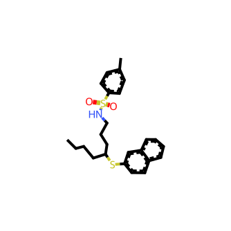 CCCCC(CCCNS(=O)(=O)c1ccc(C)cc1)Sc1ccc2ccccc2c1